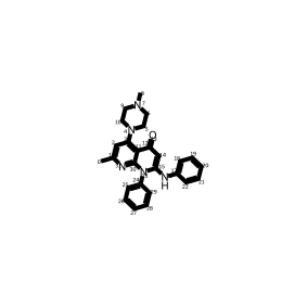 Cc1cc(N2CCN(C)CC2)c2c(=O)cc(Nc3ccccc3)n(-c3ccccc3)c2n1